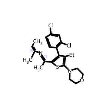 C/C=C(C)\N=C(/C)c1sc(N2CCOCC2)c(CC)c1-c1ccc(Cl)cc1Cl